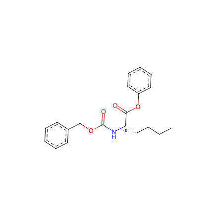 CCCC[C@H](NC(=O)OCc1ccccc1)C(=O)Oc1ccccc1